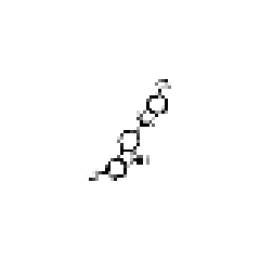 N#Cc1ccc2nc(N3CCc4c([nH]c5ccc(Cl)cc45)C3)sc2c1